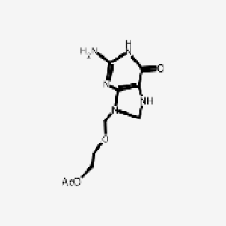 CC(=O)OCCOCN1CNc2c1nc(N)[nH]c2=O